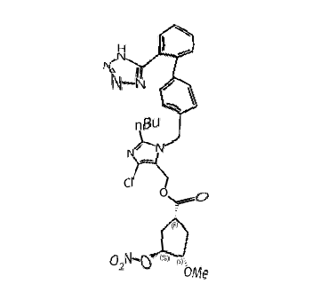 CCCCc1nc(Cl)c(COC(=O)[C@@H]2C[C@H](OC)[C@@H](O[N+](=O)[O-])C2)n1Cc1ccc(-c2ccccc2-c2nnn[nH]2)cc1